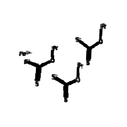 CC(C)OC(=S)[S-].CC(C)OC(=S)[S-].CC(C)OC(=S)[S-].[Fe+3]